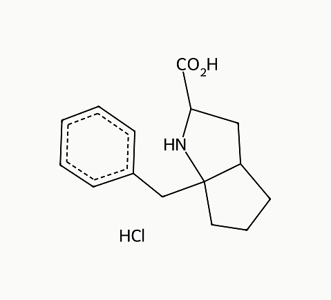 Cl.O=C(O)C1CC2CCCC2(Cc2ccccc2)N1